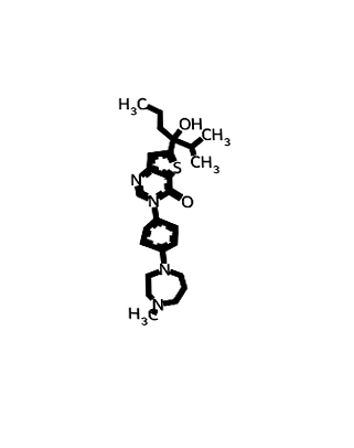 CCCC(O)(c1cc2ncn(-c3ccc(N4CCCN(C)CC4)cc3)c(=O)c2s1)C(C)C